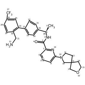 C[C@@H](NC(=O)c1cncc(N2CCC3(CCOC3)C2)n1)c1ccc(-c2cc(C(F)(F)F)ccc2CN)cc1